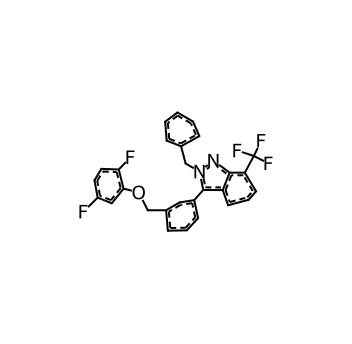 Fc1ccc(F)c(OCc2cccc(-c3c4cccc(C(F)(F)F)c4nn3Cc3ccccc3)c2)c1